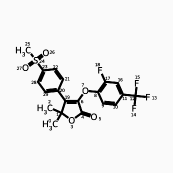 CC1(C)OC(=O)C(Oc2ccc(C(F)(F)F)cc2F)=C1c1ccc(S(C)(=O)=O)cc1